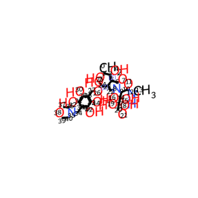 C=C(O)/C(O)=C1/C(=O)N(C(C(=O)NC)C(O)(O)C(O)(O)C=O)C/C1=C(/O)OCc1c(O)c(O)c(CN2CCOCC2)c(O)c1O